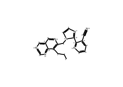 CCCc1c(Cn2ccnc2-c2ncccc2C#N)ncc2cncnc12